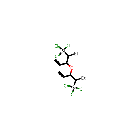 C=CC(OC(C=C)C(CC)[Si](Cl)(Cl)Cl)C(CC)[Si](Cl)(Cl)Cl